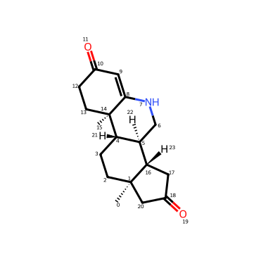 C[C@]12CC[C@H]3[C@@H](CNC4=CC(=O)CC[C@@]43C)[C@@H]1CC(=O)C2